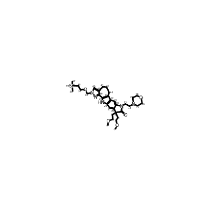 COCCC1(CCOC)C(=O)N(CCN2CCOCC2)c2cc3c4c([nH]c3cc21)-c1nn(COCC[Si](C)(C)C)cc1CCC4